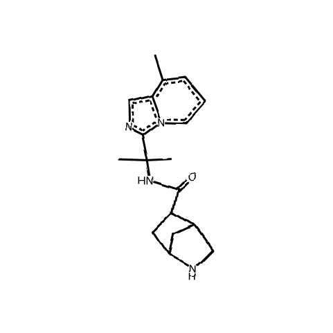 Cc1cccn2c(C(C)(C)NC(=O)C3CC4CC3CN4)ncc12